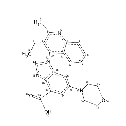 CCc1c(C)nc2ccccc2c1-n1cnc2c(C(=O)O)cc(N3CCOCC3)cc21